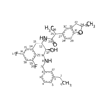 CCc1cccc(CNC[C@H](O)[C@H](Cc2cc(F)cc(F)c2)NC(=O)C(C)c2ccc3c(c2)CC(C)O3)c1